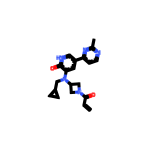 C=CC(=O)N1CC(N(CC2CC2)c2cc(-c3ccnc(C)n3)c[nH]c2=O)C1